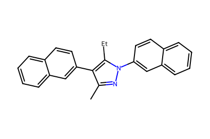 CCc1c(-c2ccc3ccccc3c2)c(C)nn1-c1ccc2ccccc2c1